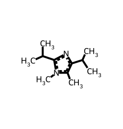 Cc1c(C(C)C)nc(C(C)C)n1C